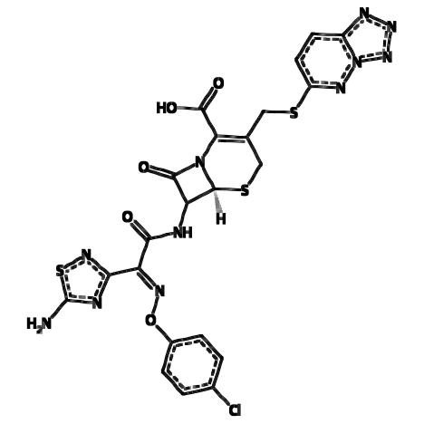 Nc1nc(C(=NOc2ccc(Cl)cc2)C(=O)NC2C(=O)N3C(C(=O)O)=C(CSc4ccc5nnnn5n4)CS[C@@H]23)ns1